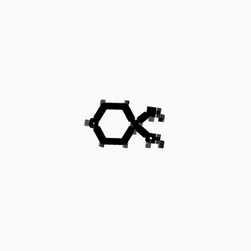 B[N+]1(C)CCOCC1